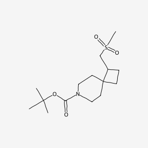 CC(C)(C)OC(=O)N1CCC2(CCC2CS(C)(=O)=O)CC1